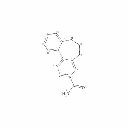 NC(=O)c1cnc2c(c1)CCCc1ccccc1-2